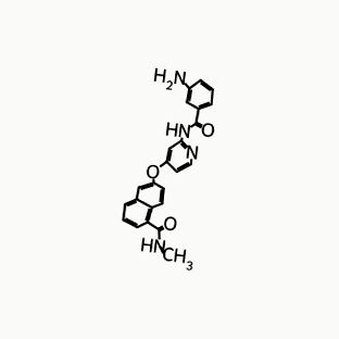 CNC(=O)c1cccc2cc(Oc3ccnc(NC(=O)c4cccc(N)c4)c3)ccc12